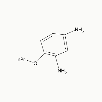 CCCOc1ccc(N)cc1N